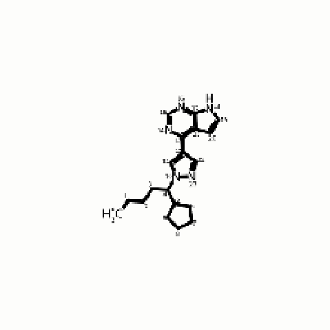 CCCCC(C1CCCC1)n1cc(-c2ncnc3[nH]ccc23)cn1